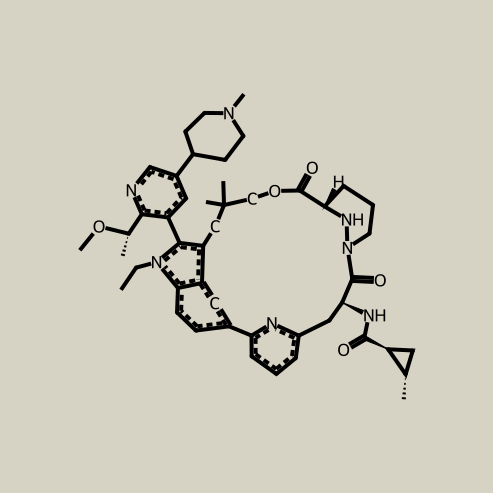 CCn1c(-c2cc(C3CCN(C)CC3)cnc2[C@H](C)OC)c2c3cc(ccc31)-c1cccc(n1)C[C@H](NC(=O)[C@H]1C[C@@H]1C)C(=O)N1CCC[C@H](N1)C(=O)OCC(C)(C)C2